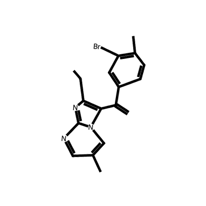 C=C(c1ccc(C)c(Br)c1)c1c(CC)nc2ncc(C)cn12